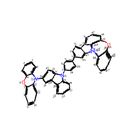 c1ccc2c(c1)Oc1ccccc1N2c1ccc2c(c1)c1ccccc1n2-c1ccc(-c2ccc3c4cccc5c4n(c3c2)-c2ccccc2O5)cc1